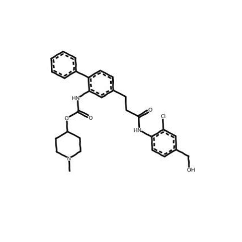 CN1CCC(OC(=O)Nc2cc(CCC(=O)Nc3ccc(CO)cc3Cl)ccc2-c2ccccc2)CC1